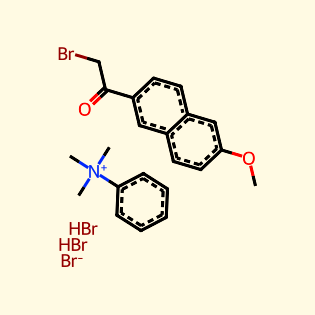 Br.Br.COc1ccc2cc(C(=O)CBr)ccc2c1.C[N+](C)(C)c1ccccc1.[Br-]